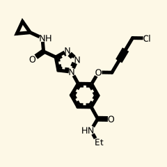 CCNC(=O)c1ccc(-n2cc(C(=O)NC3CC3)nn2)c(OCC#CCCl)c1